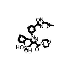 CN(C)Cc1noc(-c2cccc(-n3nc(C(=O)N4CCOCC4)c4c3-c3ccccc3S(O)(O)C4)c2)n1